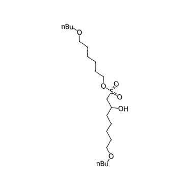 CCCCOCCCCCCOS(=O)(=O)CC(O)CCCCCOCCCC